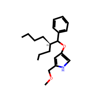 CCCC[C@H](CCC)C(Oc1c[nH]c(COC)c1)c1ccccc1